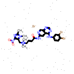 Cc1nc([N+](=O)[O-])c(C[N+](C)(C)C/C=C/C(=O)Nc2cc3c(Nc4ccc(Br)c(Br)c4)ncnc3cn2)n1C.[Br-]